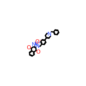 O=C1c2ccccc2C(=O)c2c1n[n+]([O-])n2Cc1ccc(C2=CCN(Cc3ccccc3)CC2)cc1